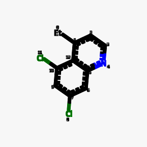 CCc1ccnc2cc(Cl)cc(Cl)c12